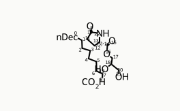 CCCCCCCCCCCCCCCCCC(=O)O.O=C1CC[C@@H](C(=O)OCC(O)CO)N1